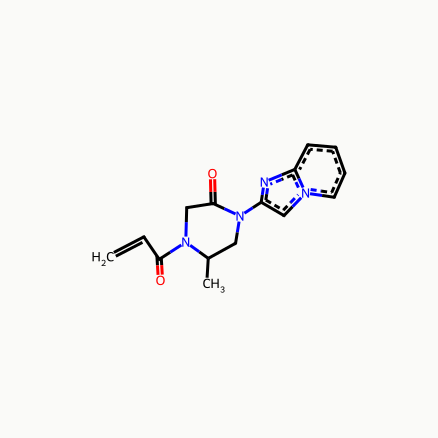 C=CC(=O)N1CC(=O)N(c2cn3ccccc3n2)CC1C